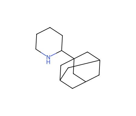 C1CCC(C23CC4CC(CC(C4)C2)C3)NC1